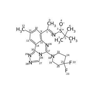 CC(=N[S@+]([O-])C(C)(C)C)c1cc(C)cc2c1nc(N1CCC(F)(F)CC1)n1cnnc21